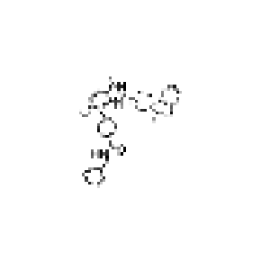 CC(=O)C1(c2ccccc2)CCN(c2nc(C)c3ccc(=O)n(-c4ccc(C(=O)NCc5ccccc5)cc4)c3n2)CC1